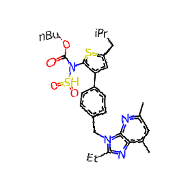 CCCCOC(=O)N(c1sc(CC(C)C)cc1-c1ccc(Cn2c(CC)nc3c(C)cc(C)nc32)cc1)[SH](=O)=O